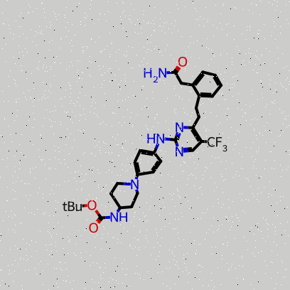 CC(C)(C)OC(=O)NC1CCN(c2ccc(Nc3ncc(C(F)(F)F)c(CCc4ccccc4CC(N)=O)n3)cc2)CC1